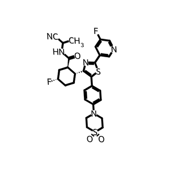 CC(C#N)NC(=O)[C@@H]1C[C@@H](F)CC[C@H]1c1nc(-c2cncc(F)c2)sc1-c1ccc(N2CCS(=O)(=O)CC2)cc1